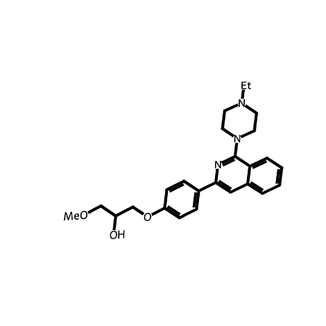 CCN1CCN(c2nc(-c3ccc(OCC(O)COC)cc3)cc3ccccc23)CC1